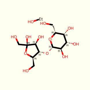 CCO.OC[C@H]1O[C@@H](O[C@@H]2[C@@H](CO)O[C@](O)(CO)[C@H]2O)[C@H](O)[C@@H](O)[C@H]1O